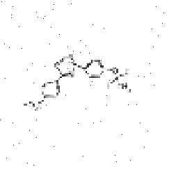 CC(F)(F)Oc1ccc(-c2nccc(-c3ccc(C(=O)O)cc3)n2)cc1